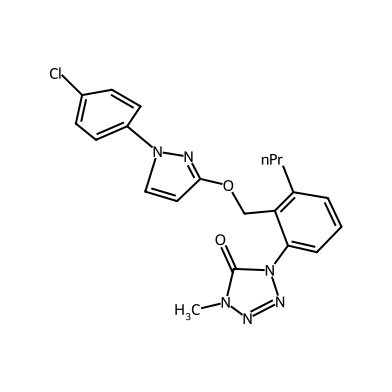 CCCc1cccc(-n2nnn(C)c2=O)c1COc1ccn(-c2ccc(Cl)cc2)n1